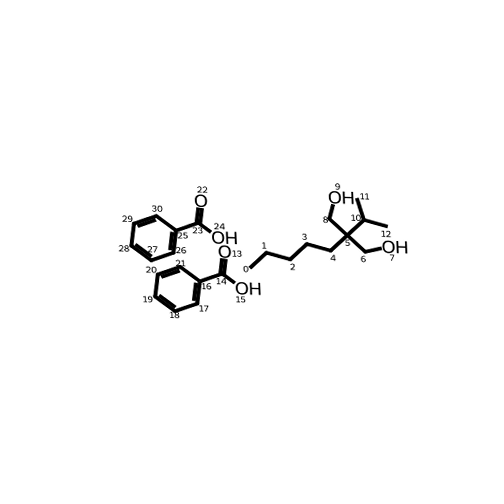 CCCCCC(CO)(CO)C(C)C.O=C(O)c1ccccc1.O=C(O)c1ccccc1